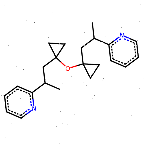 CC(CC1(OC2(CC(C)c3ccccn3)CC2)CC1)c1ccccn1